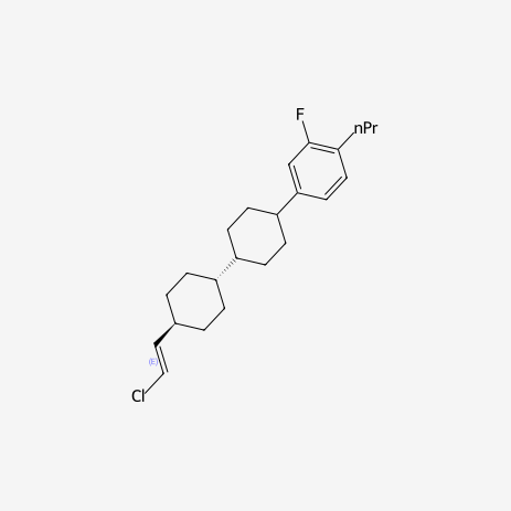 CCCc1ccc(C2CCC([C@H]3CC[C@H](/C=C/Cl)CC3)CC2)cc1F